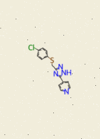 Clc1ccc(SCc2n[nH]c(-c3ccncc3)n2)cc1